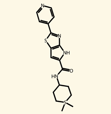 CS1(C)CCC(NC(=O)c2cc3sc(-c4ccncc4)nc3[nH]2)CC1